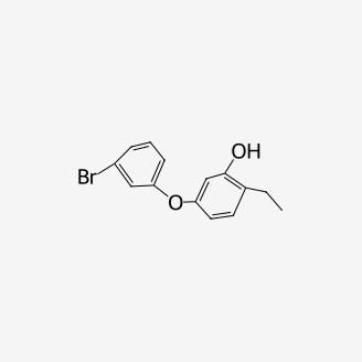 CCc1ccc(Oc2cccc(Br)c2)cc1O